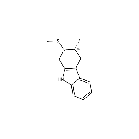 CSN1Cc2[nH]c3ccccc3c2C[C@H]1C